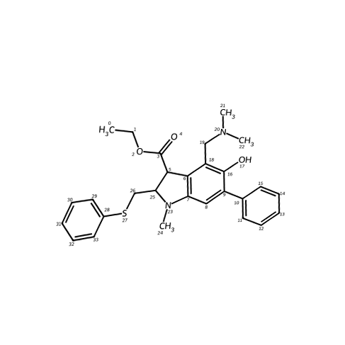 CCOC(=O)C1c2c(cc(-c3ccccc3)c(O)c2CN(C)C)N(C)C1CSc1ccccc1